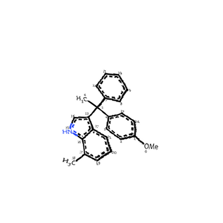 COc1ccc(C(C)(c2ccccc2)c2c[nH]c3c(C)cccc23)cc1